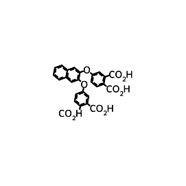 O=C(O)c1ccc(Oc2cc3ccccc3cc2Oc2ccc(C(=O)O)c(C(=O)O)c2)cc1C(=O)O